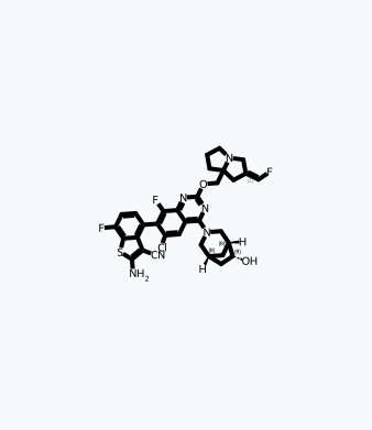 N#Cc1c(N)sc2c(F)ccc(-c3c(Cl)cc4c(N5C[C@@H]6C[C@H](C5)[C@H](O)C6)nc(OCC56CCCN5C/C(=C\F)C6)nc4c3F)c12